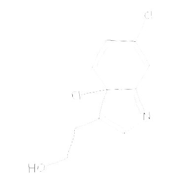 OCCC1=CN=C2C=C(Cl)C=CC12Cl